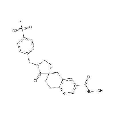 CS(=O)(=O)c1ccc(CN2CC[C@]3(CCc4ccc(C(=O)NO)cc4C3)C2=O)cc1